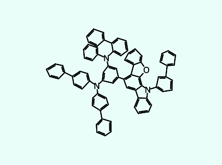 c1ccc(-c2ccc(N(c3ccc(-c4ccccc4)cc3)c3cc(-c4cc5c6ccccc6n(-c6cccc(-c7ccccc7)c6)c5c5oc6ccccc6c45)cc(N(c4ccccc4)c4ccccc4-c4ccccc4)c3)cc2)cc1